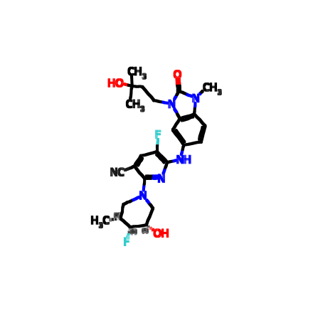 C[C@@H]1CN(c2nc(Nc3ccc4c(c3)n(CCC(C)(C)O)c(=O)n4C)c(F)cc2C#N)C[C@H](O)[C@@H]1F